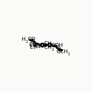 C=CC(=O)OCC(O)COc1ccc(C(C)(C)c2ccc(OCC(COC(=O)C=C)[N+](CC)(CC)CC)cc2)cc1